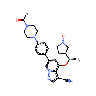 CC(=O)N1CCN(c2ccc(-c3cc(O[C@H](C)C4CC[NH+]([O-])C4)c4c(C#N)cnn4c3)cc2)CC1